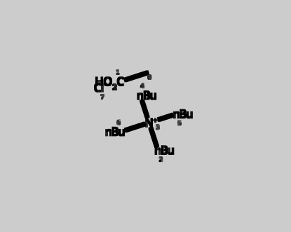 CC(=O)O.CCCC[N+](CCCC)(CCCC)CCCC.[Cl-]